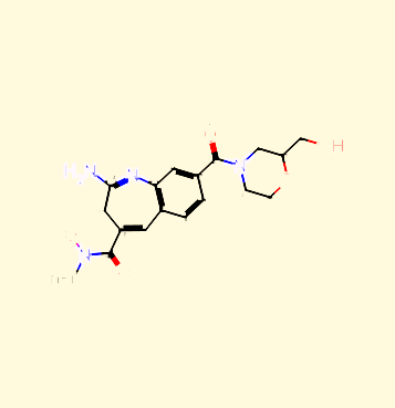 CCCN(O)C(=O)C1=Cc2ccc(C(=O)N3CCOC(CO)C3)cc2N=C(N)C1